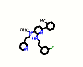 N#Cc1ccccc1-c1ccc(N(C=O)CCc2cccnc2)c(NCCc2cccc(F)c2)n1